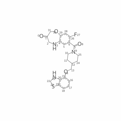 O=C1CNc2cc(C(=O)N3CCC(COc4cccc5c4NCS5)CC3)c(F)cc2OC1